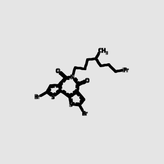 CC(C)CCCC(C)CCCn1c(=O)c2cc(Br)sc2c2sc(Br)cc2c1=O